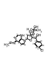 CO/N=c1\nc[nH]c2c1ccn2C1CC(C)(OC(C)(C)O)C(C(O)c2ccc(Cl)cc2)O1